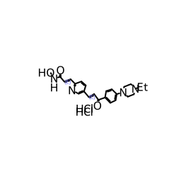 CCN1CCN(c2ccc(C(=O)/C=C/c3ccc(/C=C/C(=O)NO)nc3)cc2)CC1.Cl.Cl